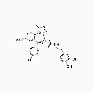 COc1ccc2c(c1)C(c1ccc(Cl)cc1)=N[C@@H](CC(=O)NCCc1ccc(O)c(O)c1)c1nnc(C)n1-2